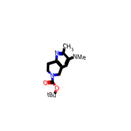 CNc1cc2c(nc1C)CCN(C(=O)OC(C)(C)C)C2